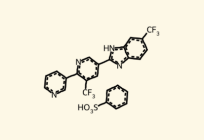 FC(F)(F)c1ccc2nc(-c3cnc(-c4cccnc4)c(C(F)(F)F)c3)[nH]c2c1.O=S(=O)(O)c1ccccc1